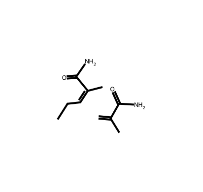 C=C(C)C(N)=O.CCC=C(C)C(N)=O